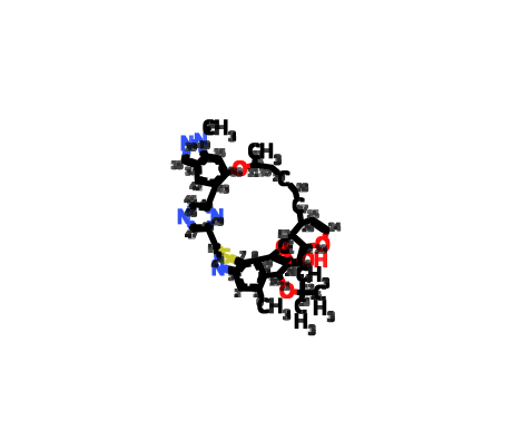 Cc1cc2nc3sc2c(c1C(OC(C)(C)C)C(=O)O)C1=CC=C2OC=CC(CCCC[C@H](C)Oc4cc5c(cnn5C)cc4-c4cncc-3n4)C2C1